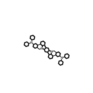 c1ccc(N(c2ccccc2)c2ccc3c(c2)-c2cccc4c5cc6c(cc5n(c24)C3)c2cccc3c2n6Cc2ccc(N(c4ccccc4)c4ccccc4)cc2-3)cc1